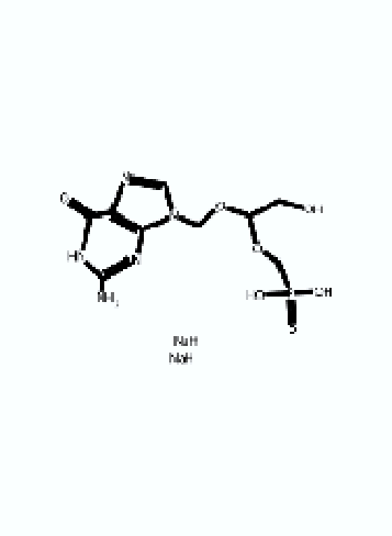 Nc1nc2c(ncn2COC(CO)OCP(=O)(O)O)c(=O)[nH]1.[NaH].[NaH]